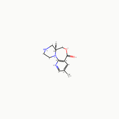 O=C1OC[C@H]2CNCCN2c2ncc(C(F)(F)F)cc21